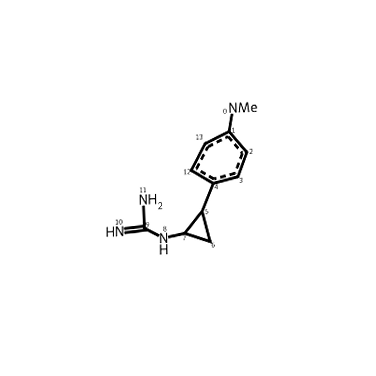 CNc1ccc(C2CC2NC(=N)N)cc1